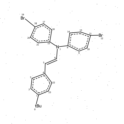 CC(C)(C)c1ccc(C=CN(c2ccc(Br)cc2)c2ccc(Br)cc2)cc1